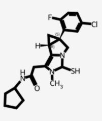 CN1C(CC(=O)NC2CCCC2)=C2[C@@H]3C[C@]3(c3cc(Cl)ccc3F)CN2C1S